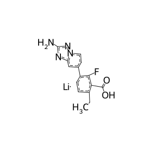 CCc1ccc(-c2ccn3nc(N)nc3c2)c(F)c1C(=O)O.[Li]